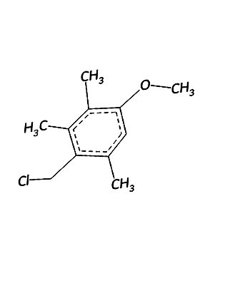 COc1cc(C)c(CCl)c(C)c1C